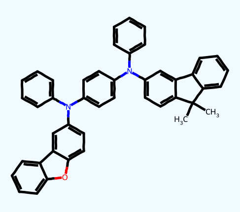 CC1(C)c2ccccc2-c2cc(N(c3ccccc3)c3ccc(N(c4ccccc4)c4ccc5oc6ccccc6c5c4)cc3)ccc21